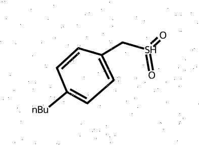 C[CH]CCc1ccc(C[SH](=O)=O)cc1